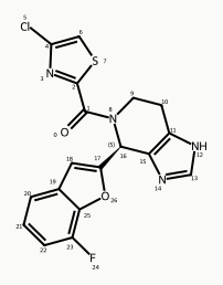 O=C(c1nc(Cl)cs1)N1CCc2[nH]cnc2[C@H]1c1cc2cccc(F)c2o1